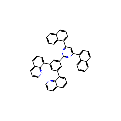 c1ccc2c(-c3cc(-c4cccc5ccccc45)nc(-c4cc(-c5cccc6cccnc56)cc(-c5cccc6cccnc56)c4)n3)cccc2c1